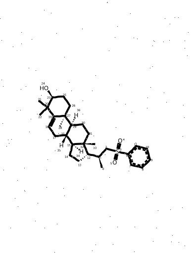 C[C@H](CS(=O)(=O)c1ccccc1)[C@@H]1CC[C@H]2[C@@H]3CC=C4C(C)(C)[C@@H](O)CC[C@@]4(C)[C@H]3CC[C@@]21C